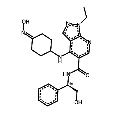 CCn1ncc2c(NC3CCC(=NO)CC3)c(C(=O)N[C@@H](CO)c3ccccc3)cnc21